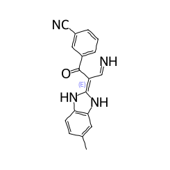 Cc1ccc2c(c1)N/C(=C(\C=N)C(=O)c1cccc(C#N)c1)N2